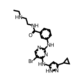 CCNCCNC(=O)c1cccc(Nc2ncc(Br)c(Nc3cc(C4CC4)n[nH]3)n2)c1